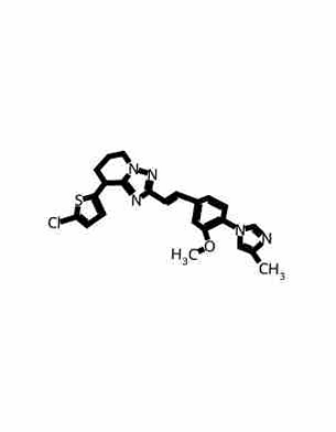 COc1cc(/C=C/c2nc3n(n2)CCCC3c2ccc(Cl)s2)ccc1-n1cnc(C)c1